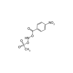 CS(=O)(=O)ONOC(=O)c1ccc([N+](=O)[O-])cc1